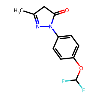 CC1=NN(c2ccc(OC(F)F)cc2)C(=O)C1